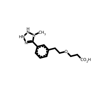 CN1NNN=C1c1cccc(CCOCCC(=O)O)c1